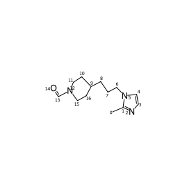 Cc1nccn1CCCC1CCN(C=O)CC1